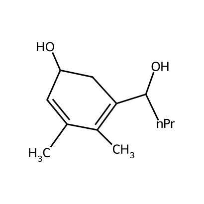 CCCC(O)C1=C(C)C(C)=CC(O)C1